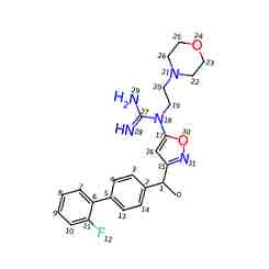 CC(c1ccc(-c2ccccc2F)cc1)c1cc(N(CCN2CCOCC2)C(=N)N)on1